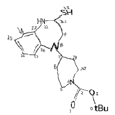 CC(C)(C)OC(=O)N1CCC(N2CC(S)Nc3ccccc32)CC1